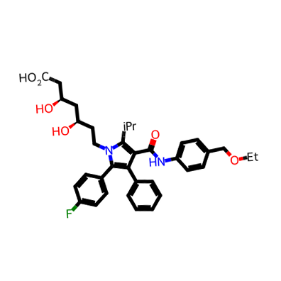 CCOCc1ccc(NC(=O)c2c(-c3ccccc3)c(-c3ccc(F)cc3)n(CC[C@@H](O)C[C@@H](O)CC(=O)O)c2C(C)C)cc1